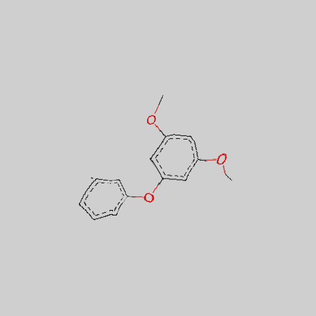 COc1cc(OC)cc(Oc2c[c]ccc2)c1